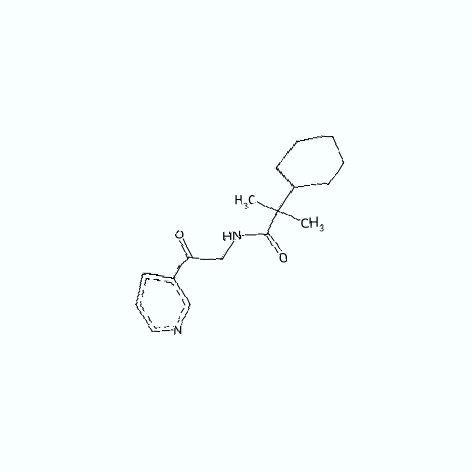 CC(C)(C(=O)NCC(=O)c1cccnc1)C1CCCCC1